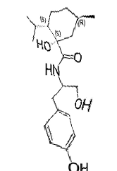 CC(C)[C@@H]1CC[C@@H](C)C[C@@]1(O)C(=O)NC(CO)Cc1ccc(O)cc1